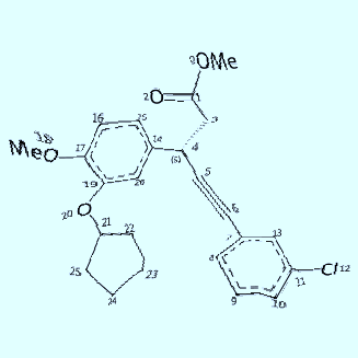 COC(=O)C[C@H](C#Cc1cccc(Cl)c1)c1ccc(OC)c(OC2CCCC2)c1